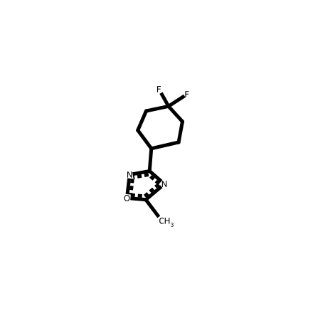 Cc1nc(C2CCC(F)(F)CC2)no1